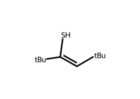 CC(C)(C)/C=C(\S)C(C)(C)C